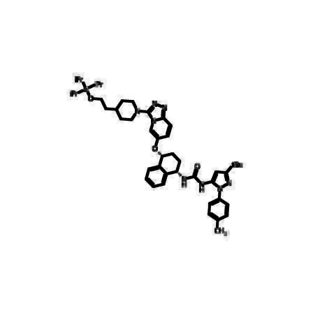 Cc1ccc(-n2nc(C(C)(C)C)cc2NC(=O)N[C@H]2CC[C@@H](Oc3ccc4nnc(N5CCC(CCO[Si](C(C)C)(C(C)C)C(C)C)CC5)n4c3)c3ccccc32)cc1